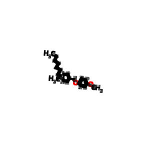 CCCCCCC[Si@]1(C)CC[C@@H](COc2ccc(OC)cc2)CC1